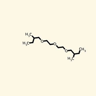 CCC(C)COCCOCCOCC(C)CC